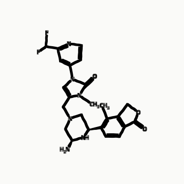 Cc1c([C@@H]2CN(Cc3cn(-c4ccnc(C(F)F)c4)c(=O)n3C)C[C@H](N)N2)ccc2c1COC2=O